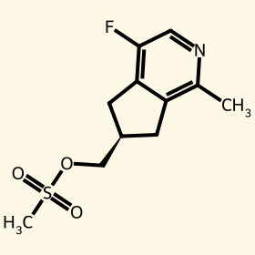 Cc1ncc(F)c2c1C[C@@H](COS(C)(=O)=O)C2